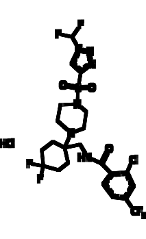 Cl.O=C(NCC1(N2CCN(S(=O)(=O)c3cn(C(F)F)nn3)CC2)CCC(F)(F)CC1)c1ccc(C(F)(F)F)cc1Cl